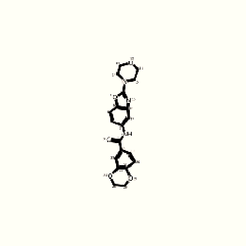 O=C(Nc1ccc2oc(N3CCOCC3)nc2c1)c1ccc2c(c1)OCCO2